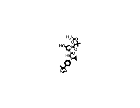 Cc1ncsc1-c1ccc(N(NC(=O)[C@@H]2C[C@@H](O)CN2C(=O)C(OC(N)=O)C(C)(C)C)C2CC2)cc1